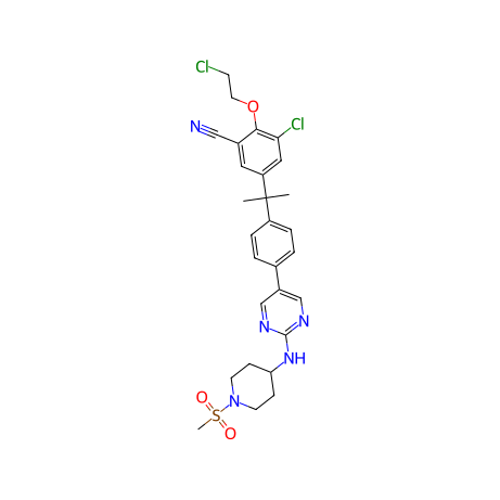 CC(C)(c1ccc(-c2cnc(NC3CCN(S(C)(=O)=O)CC3)nc2)cc1)c1cc(Cl)c(OCCCl)c(C#N)c1